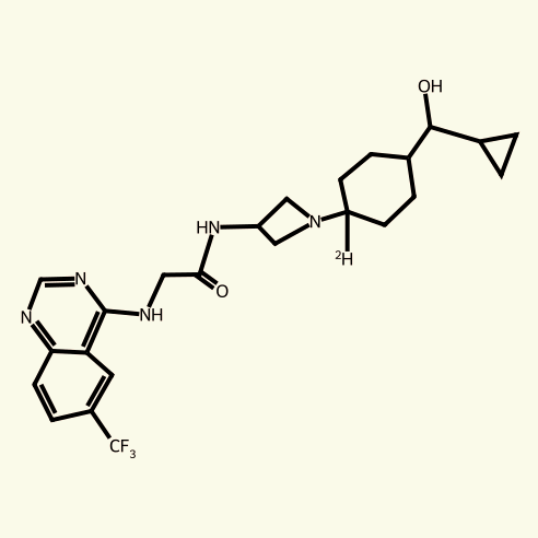 [2H]C1(N2CC(NC(=O)CNc3ncnc4ccc(C(F)(F)F)cc34)C2)CCC(C(O)C2CC2)CC1